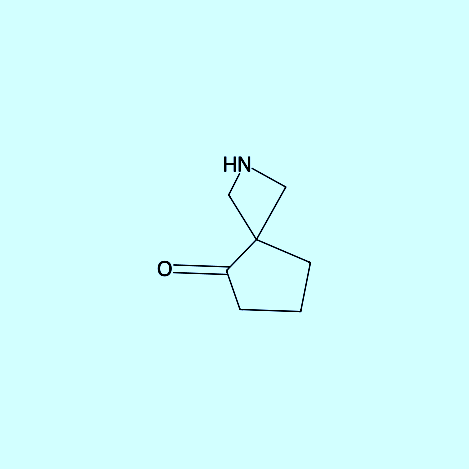 O=C1CCCC12CNC2